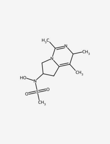 CC1=NC(C)C(C)=C2CC(N(O)S(C)(=O)=O)CN12